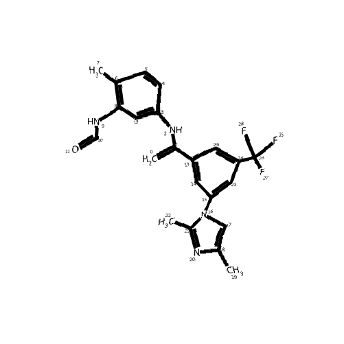 C=C(Nc1ccc(C)c(NC=O)c1)c1cc(-n2cc(C)nc2C)cc(C(F)(F)F)c1